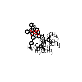 CC(C)(C)c1cc(-c2nc(-c3cc(C(C)(C)C)cc(C(C)(C)C)c3)nc(-c3ccc(-n4c5ccccc5c5c6oc7ccccc7c6ccc54)c(-c4cc(-c5ccc(C#N)cc5)ccc4-n4c5ccccc5c5c6oc7ccccc7c6ccc54)c3)n2)cc(C(C)(C)C)c1